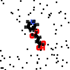 O=C(O)/C=C/C(=O)Oc1cccnc1